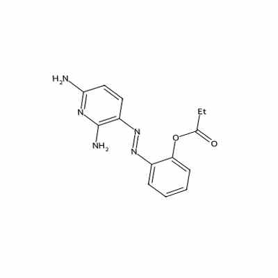 CCC(=O)Oc1ccccc1/N=N/c1ccc(N)nc1N